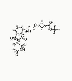 CC(C)(C)OC(=O)[C@H]1C[C@@H](OCCNc2cccc3c2C(=O)N(C2CCC(=O)NC2=O)C3=O)C1